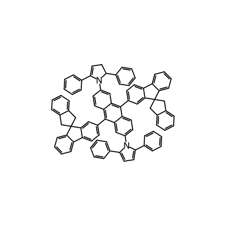 C1=C(c2ccccc2)N(c2ccc3c(-c4ccc5c(c4)C4(Cc6ccccc6C4)c4ccccc4-5)c4cc(-n5c(-c6ccccc6)ccc5-c5ccccc5)ccc4c(-c4ccc5c(c4)C4(Cc6ccccc6C4)c4ccccc4-5)c3c2)C(c2ccccc2)C1